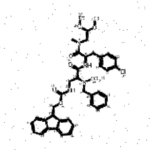 CCOC(CN(C)C(=O)C(Cc1ccc(Cl)cc1)NC(=O)C(CNC(=O)OCC1c2ccccc2-c2ccccc21)N(Cc1ccccc1)C(=O)O)OCC